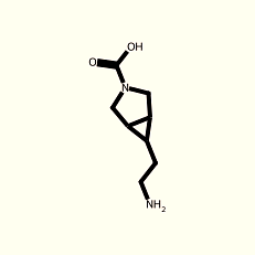 NCCC1C2CN(C(=O)O)CC12